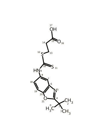 CC(C)(C)c1nc2cc(NC(=S)SCCC(=O)O)ccc2o1